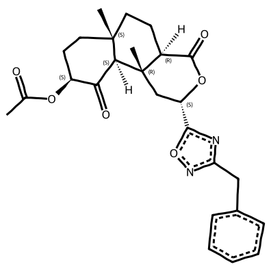 CC(=O)O[C@H]1CC[C@]2(C)CC[C@H]3C(=O)O[C@H](c4nc(Cc5ccccc5)no4)C[C@]3(C)[C@H]2C1=O